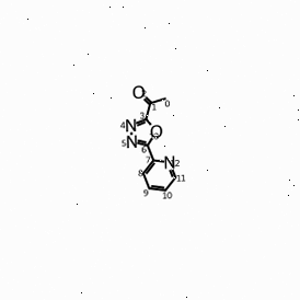 CC(=O)c1nnc(-c2ccccn2)o1